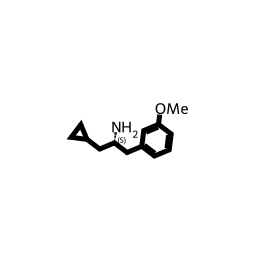 COc1cccc(C[C@@H](N)CC2CC2)c1